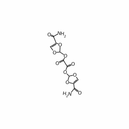 NC(=O)C1=COC(OC(=O)C(=O)OC2OC=C(C(N)=O)O2)O1